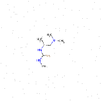 CCC(C)NC(=S)NC(C)CN(C)C